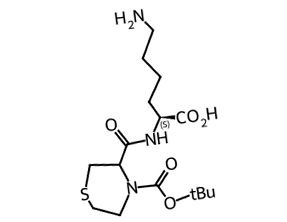 CC(C)(C)OC(=O)N1CCSCC1C(=O)N[C@@H](CCCCN)C(=O)O